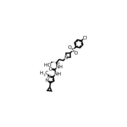 Cn1nc(C2CC2)cc1NC(=O)N[C@H](CO)CCN1CC(S(=O)(=O)c2ccc(Cl)cc2)C1